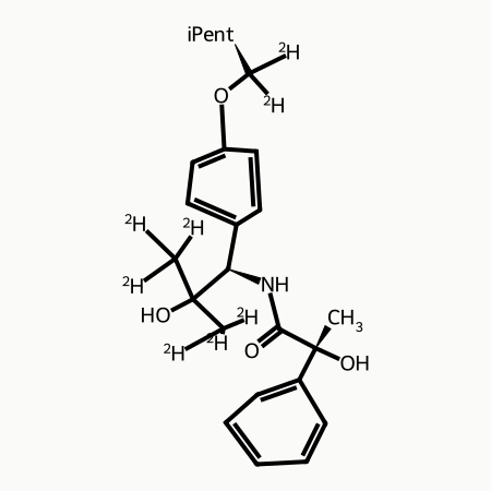 [2H]C([2H])(Oc1ccc([C@@H](NC(=O)[C@](C)(O)c2ccccc2)C(O)(C([2H])([2H])[2H])C([2H])([2H])[2H])cc1)[C@H](C)CCC